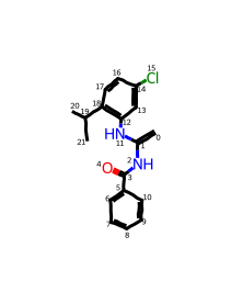 C=C(NC(=O)c1ccccc1)Nc1cc(Cl)ccc1C(C)C